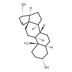 C[C@]12CC[C@@H](O)C[C@@H]1CC[C@@H]1[C@@H]2CC[C@@]23C=CC[C@H](O)[C@H]2CC[C@@H]13